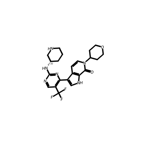 O=c1c2[nH]cc(-c3nc(N[C@H]4CCCNC4)ncc3C(F)(F)F)c2ccn1C1CCOCC1